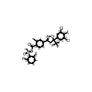 Cc1cc(C2=NOC(c3cc(Cl)c(F)c(Cl)c3)(C(F)(F)F)C2)ccc1C(=O)N=S(C)(=O)c1c(F)cccc1F